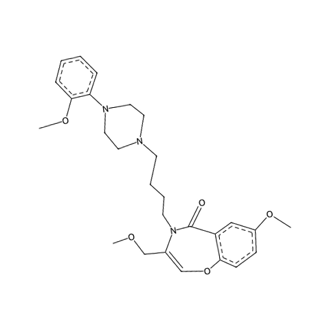 COCC1=COc2ccc(OC)cc2C(=O)N1CCCCN1CCN(c2ccccc2OC)CC1